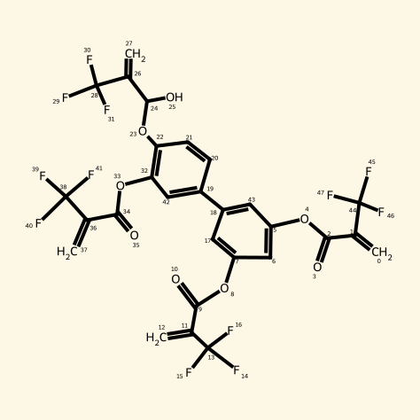 C=C(C(=O)Oc1cc(OC(=O)C(=C)C(F)(F)F)cc(-c2ccc(OC(O)C(=C)C(F)(F)F)c(OC(=O)C(=C)C(F)(F)F)c2)c1)C(F)(F)F